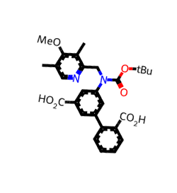 COc1c(C)cnc(CN(C(=O)OC(C)(C)C)c2cc(C(=O)O)cc(-c3ccccc3C(=O)O)c2)c1C